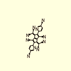 N#CC(C#N)=C1C2=C(C(C#N)=C1c1ccc(C#N)cn1)C(=C(C#N)C#N)C(c1ccc(C#N)cn1)=C2C#N